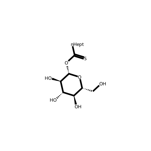 CCCCCCCC(=S)O[C@@H]1O[C@H](CO)[C@@H](O)[C@H](O)[C@H]1O